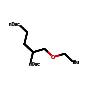 CCCCCCCCCCCCC(CCCCCCCCCC)COCC(C)CC